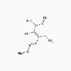 C=NN(C)/C(Cl)=C(/C=N/SC(C)(C)C)CC(F)(F)F